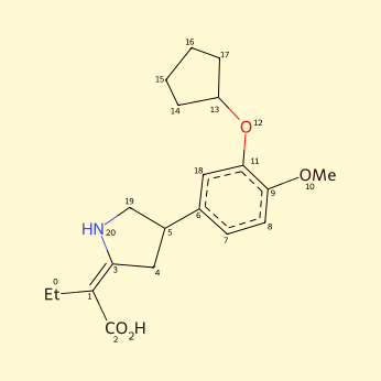 CCC(C(=O)O)=C1CC(c2ccc(OC)c(OC3CCCC3)c2)CN1